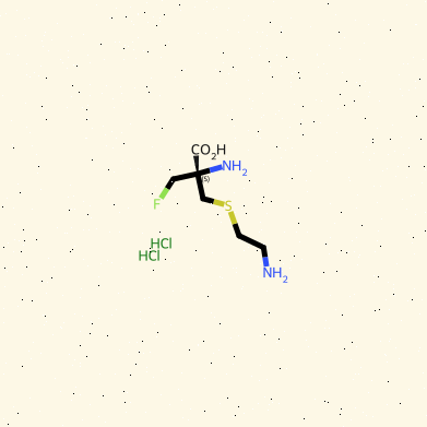 Cl.Cl.NCCSC[C@@](N)(CF)C(=O)O